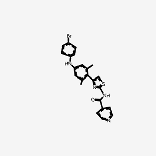 Cc1cc(Nc2ccc(Br)cc2)cc(C)c1-c1csc(NC(=O)c2ccncc2)n1